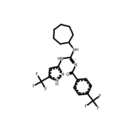 O=C(/N=C(\Nc1cc(C(F)(F)F)[nH]n1)NC1CCCCCC1)c1ccc(C(F)(F)F)cc1